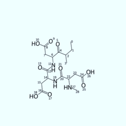 CCC(C)C(=O)C(CC(=O)O)NC(=O)C(CC(=O)O)NC(=O)C(CC(=O)O)NC